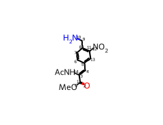 COC(=O)/C(=C/c1ccc(CN)c([N+](=O)[O-])c1)NC(C)=O